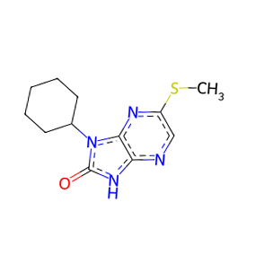 CSc1cnc2[nH]c(=O)n(C3CCCCC3)c2n1